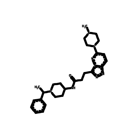 CC(c1ccccc1)N1CCC(NC(=O)CCc2nnc3ccc(N4CCN(C)CC4)nn23)CC1